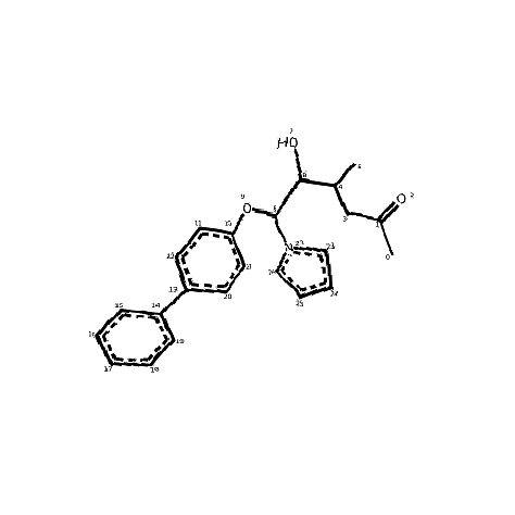 CC(=O)CC(C)C(O)C(Oc1ccc(-c2ccccc2)cc1)n1cccc1